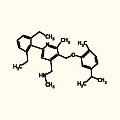 CCc1cccc(CC)c1-c1cc(CNC)c(COc2cc(C(C)C)ccc2C)c(C)n1